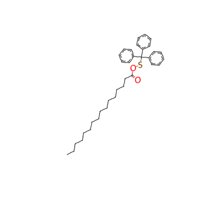 CCCCCCCCCCCCCCCC(=O)OSC(c1ccccc1)(c1ccccc1)c1ccccc1